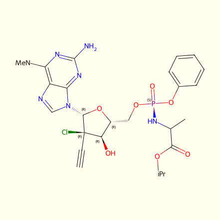 C#C[C@@]1(Cl)[C@H](O)[C@@H](CO[P@@](=O)(NC(C)C(=O)OC(C)C)Oc2ccccc2)O[C@H]1n1cnc2c(NC)nc(N)nc21